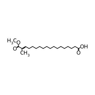 COC(=O)C(C)=CCCCCCCCCCCCCCCC(=O)O